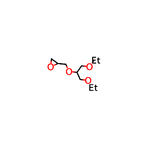 CCOCC(COCC)OCC1CO1